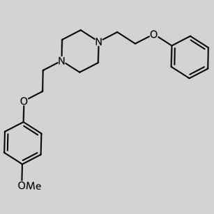 COc1ccc(OCCN2CCN(CCOc3ccccc3)CC2)cc1